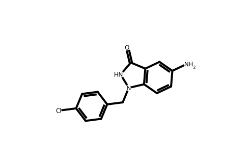 Nc1ccc2c(c1)c(=O)[nH]n2Cc1ccc(Cl)cc1